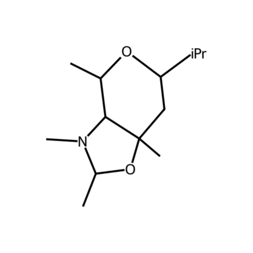 CC(C)C1CC2(C)OC(C)N(C)C2C(C)O1